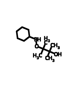 CC(C)(O)C(C)(C)OBC1CCCCC1